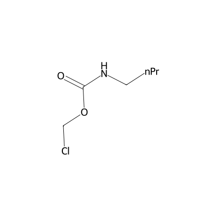 CCCCNC(=O)OCCl